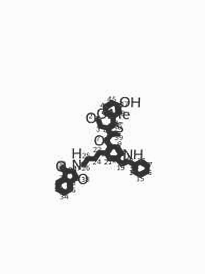 COC(=O)Cc1c(C(=O)c2cc3[nH]c(-c4ccccc4)cc3cc2CCCCNC2C(=O)c3ccccc3C2=O)csc1-c1cccc(O)c1